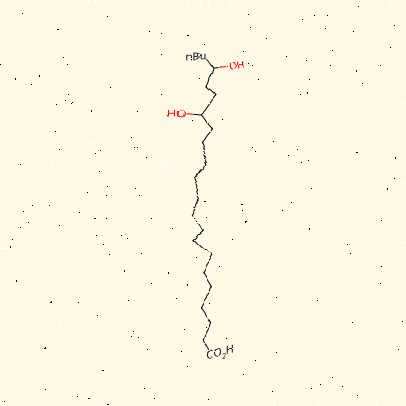 CCCCC(O)CCC(O)CCCCCCCCCCCCCCC(=O)O